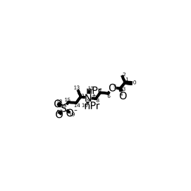 C=C(C)C(=O)OCCC[N+](CCC)(CCC)C(C)CCS(=O)(=O)[O-]